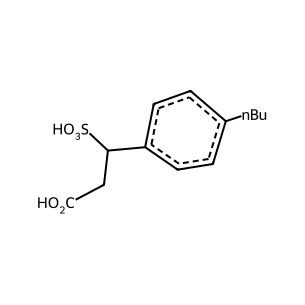 CCCCc1ccc(C(CC(=O)O)S(=O)(=O)O)cc1